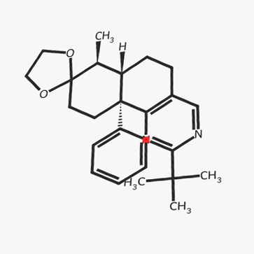 C[C@H]1[C@@H]2CCc3cnc(C(C)(C)C)nc3[C@@]2(c2ccccc2)CCC12OCCO2